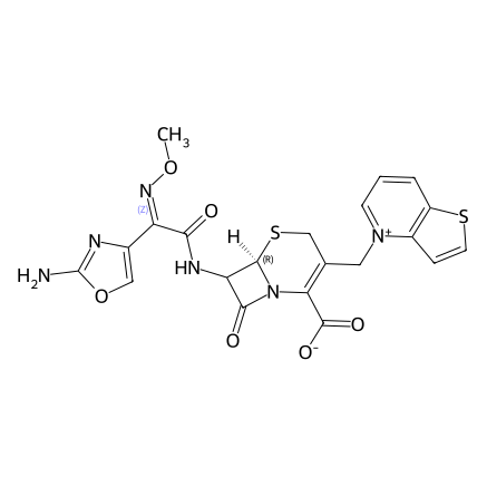 CO/N=C(\C(=O)NC1C(=O)N2C(C(=O)[O-])=C(C[n+]3cccc4sccc43)CS[C@H]12)c1coc(N)n1